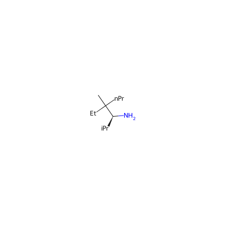 CCCC(C)(CC)[C@@H](N)C(C)C